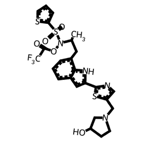 CC(Cc1cccc2cc(-c3ncc(CN4CCC(O)C4)s3)[nH]c12)N(OC(=O)C(F)(F)F)S(=O)(=O)c1cccs1